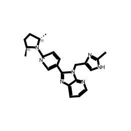 Cc1nc(Cn2c(-c3ccc(N4[C@@H](C)CC[C@@H]4C)nc3)nc3cccnc32)c[nH]1